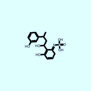 CC(CC(O)C1=C(O)C=CCC1=NP(=O)(O)O)c1cccc(O)c1